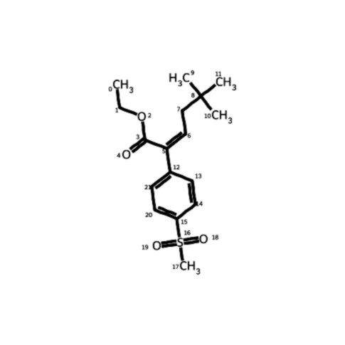 CCOC(=O)C(=CCC(C)(C)C)c1ccc(S(C)(=O)=O)cc1